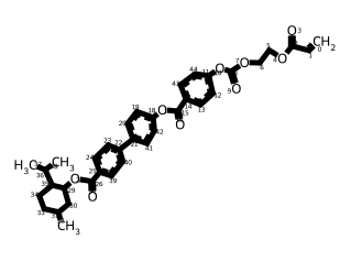 C=CC(=O)OCCOC(=O)Oc1ccc(C(=O)Oc2ccc(-c3ccc(C(=O)OC4CC(C)CCC4C(C)C)cc3)cc2)cc1